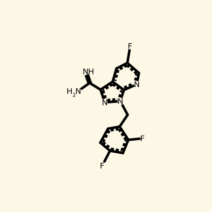 N=C(N)c1nn(Cc2ccc(F)cc2F)c2ncc(F)cc12